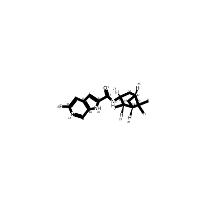 C[C@@H]1[C@@H](NC(=O)c2cc3cc(F)ncc3[nH]2)C[C@H]2C[C@@H]1C2(C)C